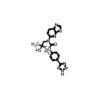 CC(C)(S)CN(C(=O)Oc1ccc(-c2nn[nH]n2)cc1)c1ccc2ncsc2n1